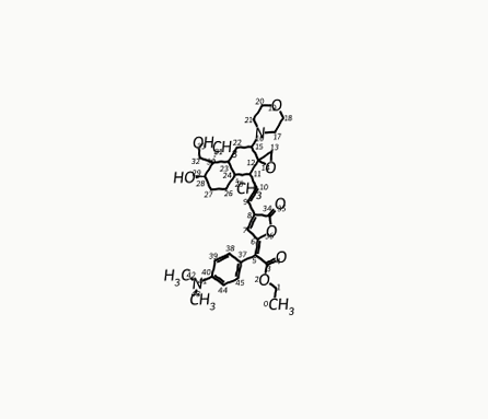 CCOC(=O)/C(=C1C=C(/C=C/C2C3(CO3)C(N3CCOCC3)CC3[C@]2(C)CC[C@@H](O)[C@@]3(C)CO)C(=O)O/1)c1ccc(N(C)C)cc1